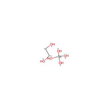 OCCO.O[Si](O)(O)O